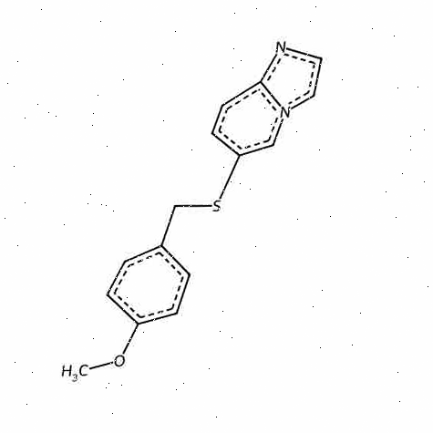 COc1ccc(CSc2ccc3nccn3c2)cc1